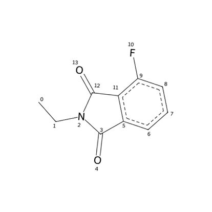 CCN1C(=O)c2cccc(F)c2C1=O